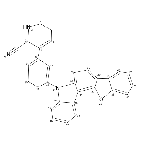 N#CC1NCCC=C1C1=CCCC(n2c3ccccc3c3c4oc5ccccc5c4ccc32)=C1